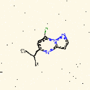 CCC(CC)c1cc(Cl)n2nccc2n1